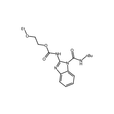 CCCCNC(=O)n1c(NC(=O)OCCOCC)nc2ccccc21